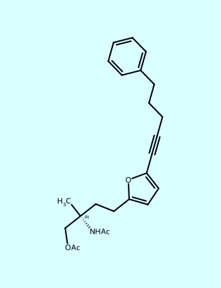 CC(=O)N[C@](C)(CCc1ccc(C#CCCCc2ccccc2)o1)COC(C)=O